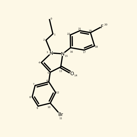 CCCn1cc(-c2cccc(Br)c2)c(=O)n1-c1ccc(F)cc1